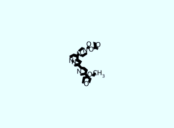 CCOC1(C2C=CC(c3cc4c(N5CCN(C(=O)OC6COC6)CC5)ccnn4c3)=NC2)CCOCC1